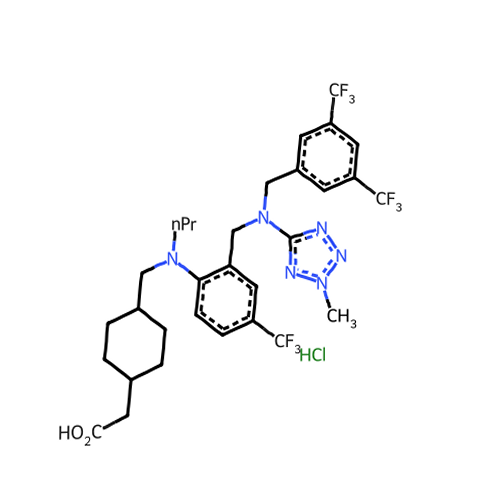 CCCN(CC1CCC(CC(=O)O)CC1)c1ccc(C(F)(F)F)cc1CN(Cc1cc(C(F)(F)F)cc(C(F)(F)F)c1)c1nnn(C)n1.Cl